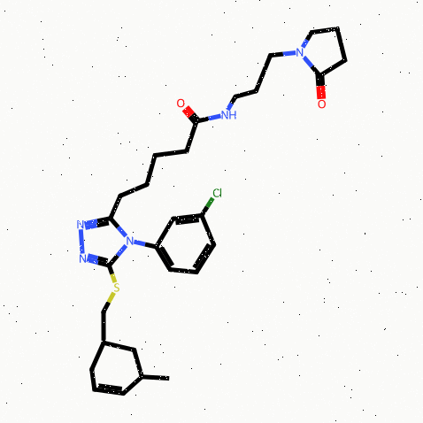 CC1C=CCC(CSc2nnc(CCCCC(=O)NCCCN3CCCC3=O)n2-c2cccc(Cl)c2)C1